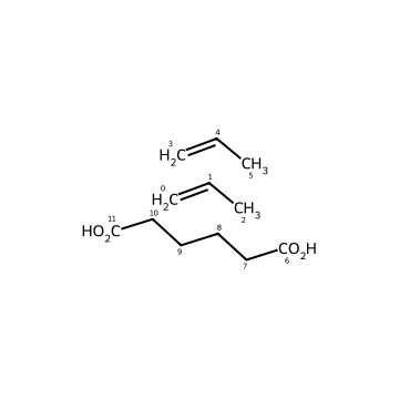 C=CC.C=CC.O=C(O)CCCCC(=O)O